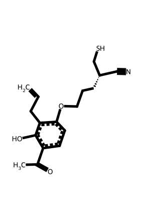 C=CCc1c(OCCC[C@@H](C#N)CS)ccc(C(C)=O)c1O